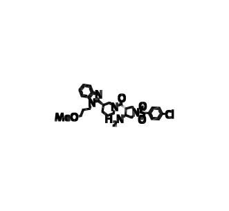 COCCCn1c([C@@H]2CCCN(C(=O)[C@@H]3CN(S(=O)(=O)c4ccc(Cl)cc4)C[C@H]3N)C2)nc2ccccc21